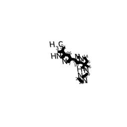 CCc1c[nH]c2ncc(-c3cc4n(n3)CCC43CN(Cc4ncc[nH]4)C3)cc12